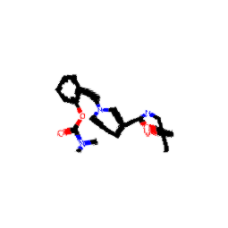 CN(C)C(=O)Oc1ccccc1CN1C=CCC(C2N=CC(C)(C)O2)=C1